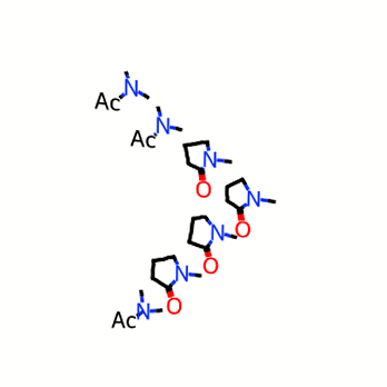 CC(=O)N(C)C.CC(=O)N(C)C.CC(=O)N(C)C.CN1CCCC1=O.CN1CCCC1=O.CN1CCCC1=O.CN1CCCC1=O